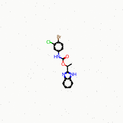 CC(OC(=O)Nc1ccc(Br)c(Cl)c1)c1nc2ccccc2[nH]1